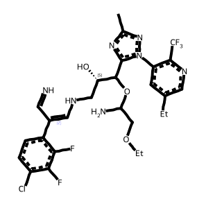 CCOCC(N)OC(c1nc(C)nn1-c1cc(CC)cnc1C(F)(F)F)[C@@H](O)CN/C=C(\C=N)c1ccc(Cl)c(F)c1F